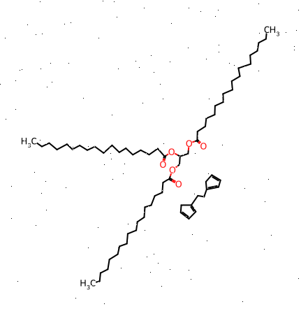 C1=CCC(CCC2=CC=CC2)=C1.CCCCCCCCCCCCCCCCCC(=O)OCC(COC(=O)CCCCCCCCCCCCCCCCC)OC(=O)CCCCCCCCCCCCCCCCC